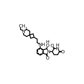 CCN1CCC2(CC1)CC(CCNc1cccc3c1C(O)N(C1CCC(=O)NC1=O)C3=O)C2